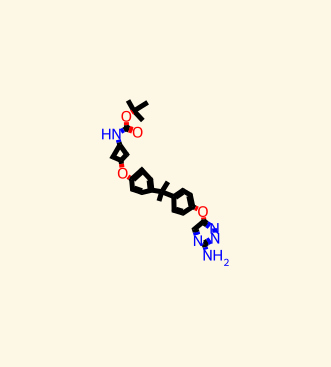 CC(C)(C)OC(=O)NC1CC(Oc2ccc(C(C)(C)c3ccc(Oc4cnc(N)nn4)cc3)cc2)C1